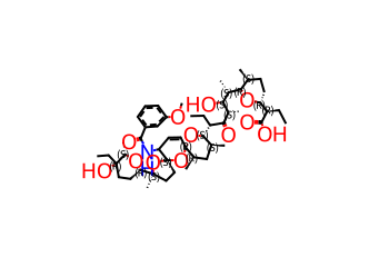 CCC(C(=O)[C@@H](C)[C@@H](O)[C@H](C)[C@@H]1O[C@@H]([C@@H](CC)C(=O)O)CC[C@@H]1C)[C@H]1O[C@]2(C=CC(NC(=O)c3cccc(OC)c3)[C@]3(CC[C@@](C)([C@H]4CC[C@](O)(CC)[C@H](C)O4)O3)O2)[C@H](C)C[C@@H]1C